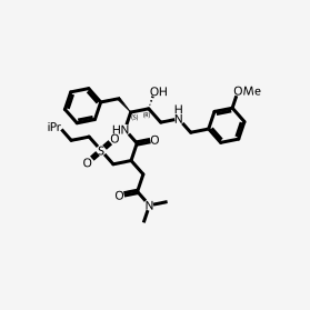 COc1cccc(CNC[C@@H](O)[C@H](Cc2ccccc2)NC(=O)C(CC(=O)N(C)C)CS(=O)(=O)CCC(C)C)c1